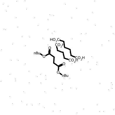 CCCCOC(=O)CCC(=O)OCCCC.O=C(O)CCCC(=O)O.O=C(O)CCCCC(=O)O